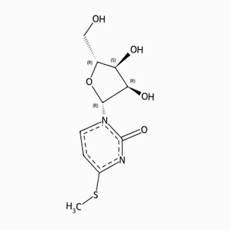 CSc1ccn([C@@H]2O[C@H](CO)[C@@H](O)[C@H]2O)c(=O)n1